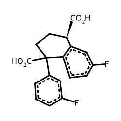 O=C(O)[C@@H]1CCC(C(=O)O)(c2cccc(F)c2)c2ccc(F)cc21